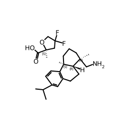 CC(C)c1ccc2c(c1)CC[C@H]1[C@](C)(CN)CCC[C@]21C.C[C@@]1(C(=O)O)CC(F)(F)CO1